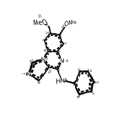 COc1cc2nc(Nc3ccccc3)c3cncn3c2cc1OC